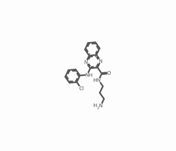 NCCCNC(=O)c1nc2ccccc2nc1Nc1ccccc1Cl